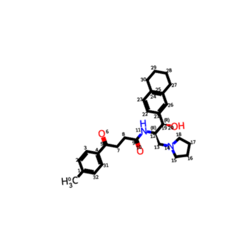 Cc1ccc(C(=O)CCC(=O)N[C@H](CN2CCCC2)[C@H](O)c2ccc3c(c2)CCCC3)cc1